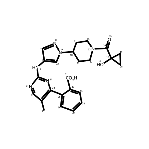 Cc1cnc(Nc2cnn(C3CCN(C(=O)C4(O)CC4)CC3)c2)nc1-c1ccccc1C(=O)O